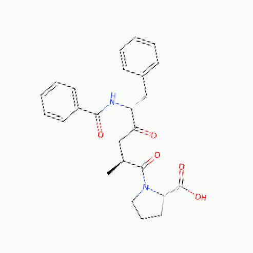 C[C@@H](CC(=O)[C@@H](Cc1ccccc1)NC(=O)c1ccccc1)C(=O)N1CCC[C@H]1C(=O)O